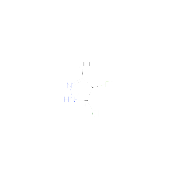 CC(C)C1=NNC(Cl)C1F